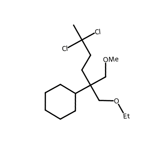 CCOCC(CCC(C)(Cl)Cl)(COC)C1CCCCC1